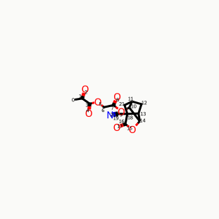 CC(=O)C(=O)OCC(=O)OC1C2CC3C1OC(=O)C3(C#N)C2